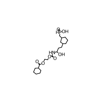 O=C(NC(O)CCC1CCCC(C[PH](=O)O)C1)OCCOC(=O)C1CCCCC1